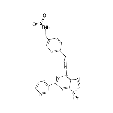 CC(C)n1cnc2c(NCCc3ccc(CN[SH](=O)=O)cc3)nc(-c3cccnc3)nc21